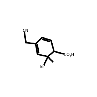 CC1(Br)C=C(CC#N)C=CC1C(=O)O